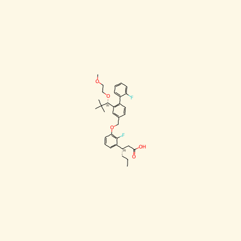 CCC[C@@H](CC(=O)O)c1cccc(OCc2ccc(-c3ccccc3F)c([C@@H](OCCOC)C(C)(C)C)c2)c1F